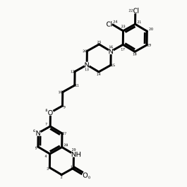 O=C1CCc2cnc(OCCCCN3CCN(c4cccc(Cl)c4Cl)CC3)cc2N1